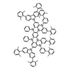 Cc1cccc(C)c1-c1cccc(N2c3cc(-c4c(C)cccc4C)ccc3B3c4cc5c(cc4N(c4ccccc4)c4cc(-n6c7ccc(-c8c(C)cccc8C)cc7c7cc(-c8c(C)cccc8C)ccc76)cc2c43)N(c2ccccc2)c2cc(-n3c4ccc(-c6c(C)cccc6C)cc4c4cc(-c6c(C)cccc6C)ccc43)cc3c2B5c2ccc(-c4c(C)cccc4C)cc2N3c2cccc(-c3c(C)cccc3C)c2)c1